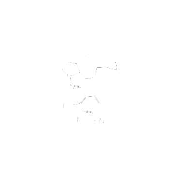 Cc1c(C2=NN3CCC(O)C3C2OCC2CC2)ccc(C#N)c1Cl